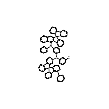 Clc1cccc(N(c2cccc(N(c3ccccc3)c3c4c(cc5ccccc35)C3(c5ccccc5-c5ccccc53)c3ccccc3-4)c2)c2ccc3c(c2)C2(c4ccccc4-3)c3ccccc3-c3c(-c4ccccc4)cccc32)c1